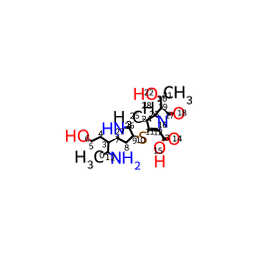 CC(N)C(CCO)[C@@H]1C[C@H](SC2=C(C(=O)O)N3C(=O)[C@H]([C@@H](C)O)[C@H]3[C@H]2C)CN1